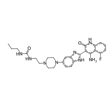 CCCNC(=O)NCCN1CCN(c2ccc3[nH]c(-c4c(N)c5c(F)cccc5[nH]c4=O)nc3c2)CC1